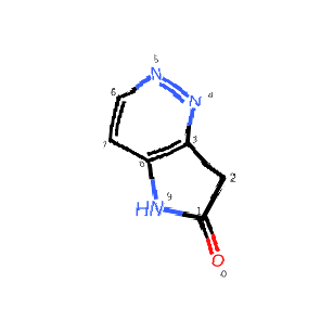 O=C1Cc2nnccc2N1